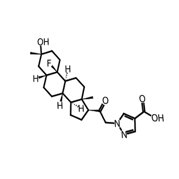 C[C@@]1(O)CC[C@@]2(F)[C@H](CC[C@H]3[C@@H]4CC[C@H](C(=O)Cn5cc(C(=O)O)cn5)[C@@]4(C)CC[C@@H]32)C1